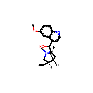 C=C[C@H]1C[N+]2(C)CC[C@H]1C[C@@H]2[C@@H](O)c1ccnc2ccc(OC)cc12